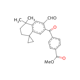 COC(=O)c1ccc(C(=O)c2cc3c(cc2C=O)C(C)(C)CCC32CC2)cc1